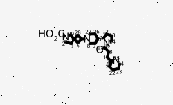 O=C(O)N1CCC2(CC(N3CCC([C@@H]4CCCN4C(=O)CCc4ccccn4)CC3)C2)C1